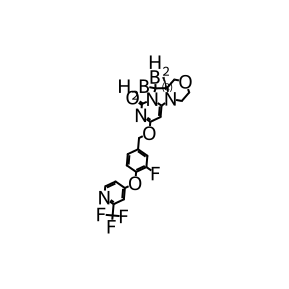 BC1(B)n2c(cc(OCc3ccc(Oc4ccnc(C(F)(F)F)c4)c(F)c3)nc2=O)N2CCOC[C@]21C